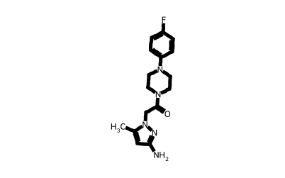 Cc1cc(N)nn1CC(=O)N1CCN(c2ccc(F)cc2)CC1